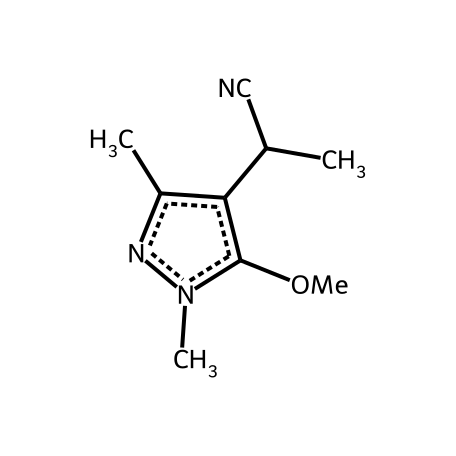 COc1c(C(C)C#N)c(C)nn1C